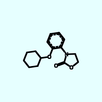 O=C1OCCN1c1ccccc1OC1CCCCC1